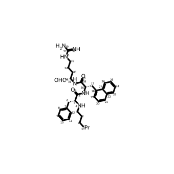 CC(C)CCCN[C@H](Cc1ccccc1)C(=O)N[C@@H](Cc1cccc2ccccc12)C(=O)N[C@H](C=O)CCCNC(=N)N